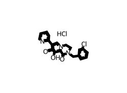 Cl.O=C1c2c(O)c(=O)c(-c3ccccn3)cn2CCN1Cc1cccc(Cl)c1